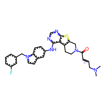 CN(C)C/C=C/C(=O)N1CCc2c(sc3ncnc(Nc4ccc5c(ccn5Cc5cccc(F)c5)c4)c23)C1